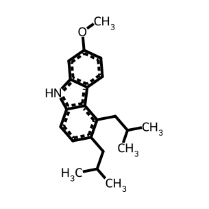 COc1ccc2c(c1)[nH]c1ccc(CC(C)C)c(CC(C)C)c12